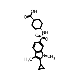 Cc1c(C2CC2)n(C)c2cc(S(=O)(=O)N[C@H]3CC[C@H](C(=O)O)CC3)ccc12